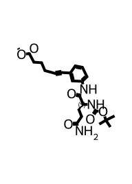 COC(=O)CCCC#Cc1cccc(NC(=O)[C@H](CCC(N)=O)NC(=O)OC(C)(C)C)c1